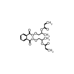 C=CC(=O)OC(C)COOC(=O)c1ccccc1C(=O)OOCC(C)OC(=O)C=C